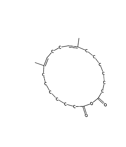 CC1=CCCC=C(C)CCCCCCC(=O)OC(=O)CCCCCC1